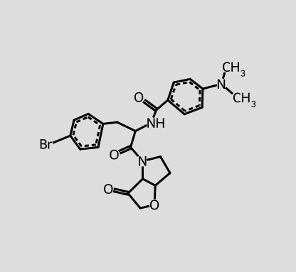 CN(C)c1ccc(C(=O)NC(Cc2ccc(Br)cc2)C(=O)N2CCC3OCC(=O)C32)cc1